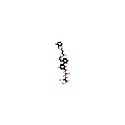 Cc1cccc(OCCCC(=O)N2CCCc3c(-c4cccc(COC(=O)NCC(N)C(=O)O)c4)cccc32)c1C